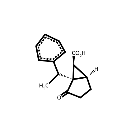 CC(c1ccccc1)[C@@]12C(=O)CC[C@@H]1[C@@H]2C(=O)O